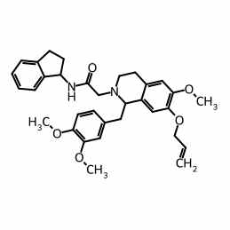 C=CCOc1cc2c(cc1OC)CCN(CC(=O)NC1CCc3ccccc31)C2Cc1ccc(OC)c(OC)c1